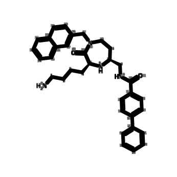 NCCCC[C@@H]1N[C@H](CNC(=O)c2ccc(-c3ccccc3)cc2)CCN(Cc2ccc3ccccc3c2)C1=O